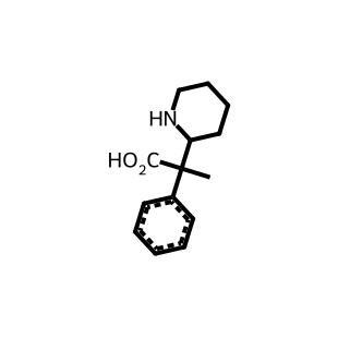 CC(C(=O)O)(c1ccccc1)C1CCCCN1